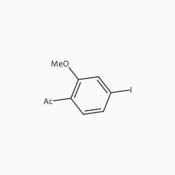 COc1cc(I)ccc1C(C)=O